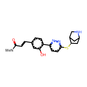 CNC(=O)/C=C/c1ccc(-c2ccc(S[C@@H]3CC4CC3CN4)nn2)c(O)c1